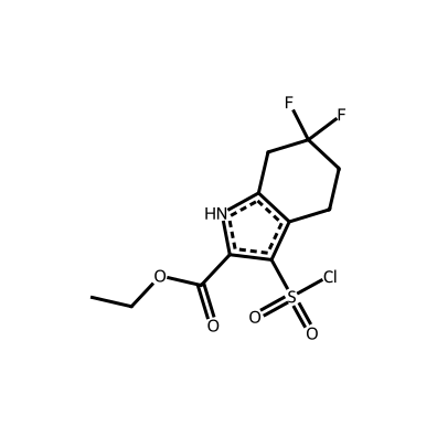 CCOC(=O)c1[nH]c2c(c1S(=O)(=O)Cl)CCC(F)(F)C2